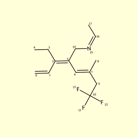 C=C/C(CC)=C(\C=C(/C)CC(F)(F)F)C/N=C\C